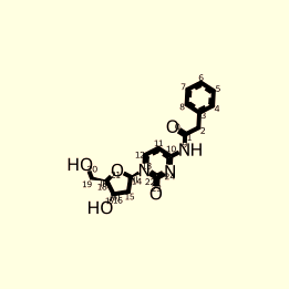 O=C(Cc1ccccc1)Nc1ccn([C@H]2C[C@H](O)[C@@H](CO)O2)c(=O)n1